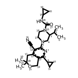 CC(C)C1CN(c2nc(C3CC3)c3c(c2C#N)CC(C)(C)OC3)CCN1C(=O)NC1CC1